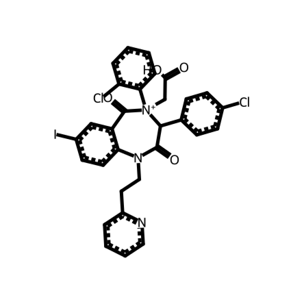 O=C(O)C[N+]1(c2ccccc2Cl)C(=O)c2cc(I)ccc2N(CCc2ccccn2)C(=O)C1c1ccc(Cl)cc1